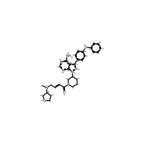 CN(CC=CC(=O)N1CCCC(n2nc(-c3ccc(Oc4ccccc4)cc3)c3c(N)ncnc32)C1)C1CCOC1